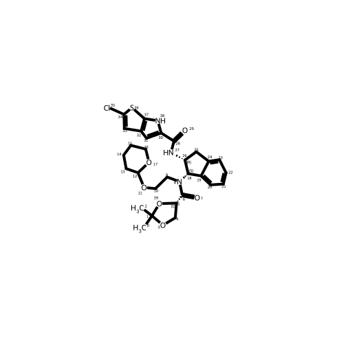 CC1(C)OC[C@@H](C(=O)N(CCOC2CCCCO2)[C@H]2c3ccccc3C[C@H]2NC(=O)c2cc3cc(Cl)sc3[nH]2)O1